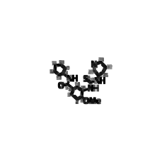 COc1ccc(C(=O)Nc2ccccc2)cc1NC(=S)Nc1cccnc1